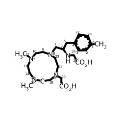 Cc1ccc(CC(CN2CCN(C)CCN(C)CCN(CC(=O)O)CC2)NCC(=O)O)cc1